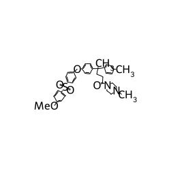 COc1ccc(S(=O)(=O)c2ccc(Oc3ccc(C(C)(CCC(=O)N4CCN(C)CC4)c4ccc(C)cc4)cc3)cc2)cc1